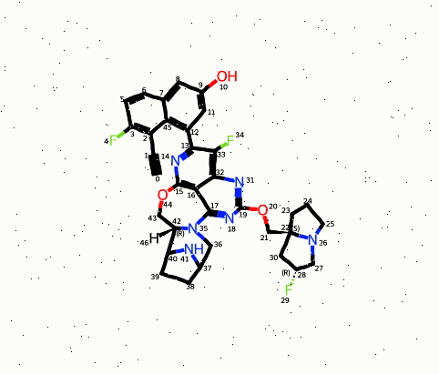 C#Cc1c(F)ccc2cc(O)cc(-c3nc4c5c(nc(OC[C@@]67CCCN6C[C@H](F)C7)nc5c3F)N3CC5CCC(N5)[C@@H]3CO4)c12